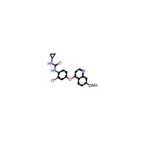 COc1ccc2c(Oc3ccc(NC(=O)NC4CC4)c(Cl)c3)ccnc2c1